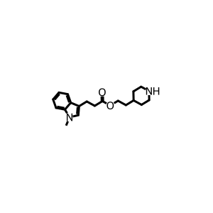 Cn1cc(CCC(=O)OCCC2CCNCC2)c2ccccc21